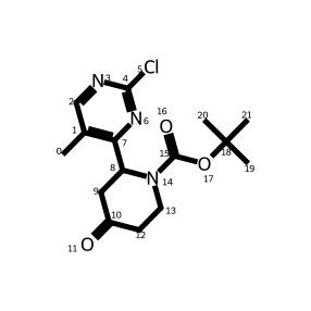 Cc1cnc(Cl)nc1C1CC(=O)CCN1C(=O)OC(C)(C)C